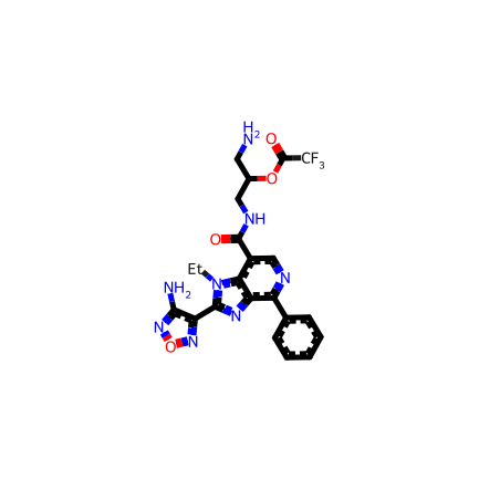 CCn1c(-c2nonc2N)nc2c(-c3ccccc3)ncc(C(=O)NCC(CN)OC(=O)C(F)(F)F)c21